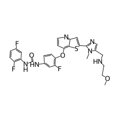 COCCNCc1cnc(-c2cc3nccc(Oc4ccc(NC(=O)Nc5cc(F)ccc5F)cc4F)c3s2)n1C